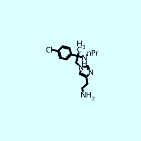 CCCNC(C)(Cn1cnc(CCN)c1)c1ccc(Cl)cc1